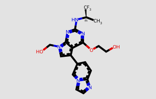 C[C@@H](Nc1nc(OCCO)c2c(-c3ccc4nccn4c3)cn(CO)c2n1)C(F)(F)F